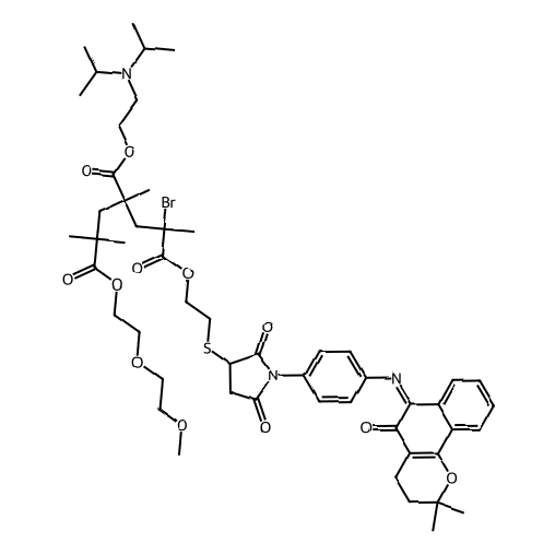 COCCOCCOC(=O)C(C)(C)CC(C)(CC(C)(Br)C(=O)OCCSC1CC(=O)N(c2ccc(N=C3C(=O)C4=C(OC(C)(C)CC4)c4ccccc43)cc2)C1=O)C(=O)OCCN(C(C)C)C(C)C